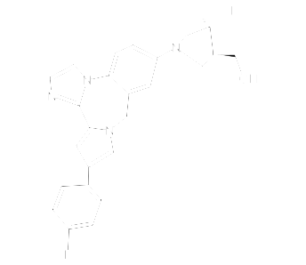 C[C@H]1CN(c2ccc3c(c2)Cn2cc(-c4ccc(F)cc4)cc2-c2nccn2-3)C[C@@H]1CO